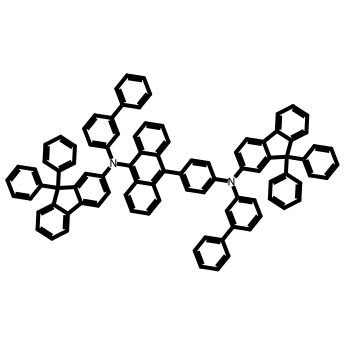 c1ccc(-c2cccc(N(c3ccc(-c4c5ccccc5c(N(c5cccc(-c6ccccc6)c5)c5ccc6c(c5)C(c5ccccc5)(c5ccccc5)c5ccccc5-6)c5ccccc45)cc3)c3ccc4c(c3)C(c3ccccc3)(c3ccccc3)c3ccccc3-4)c2)cc1